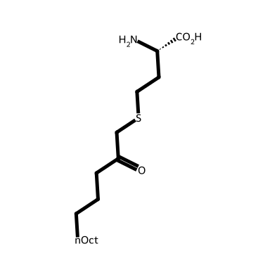 CCCCCCCCCCCC(=O)CSCC[C@H](N)C(=O)O